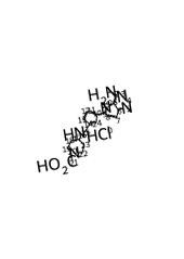 Cl.Nc1ncnc2ccc(-c3cccc(CNC4CCN(C(=O)O)CC4)c3)nc12